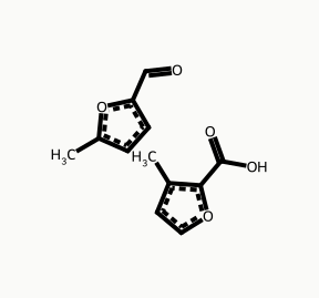 Cc1ccc(C=O)o1.Cc1ccoc1C(=O)O